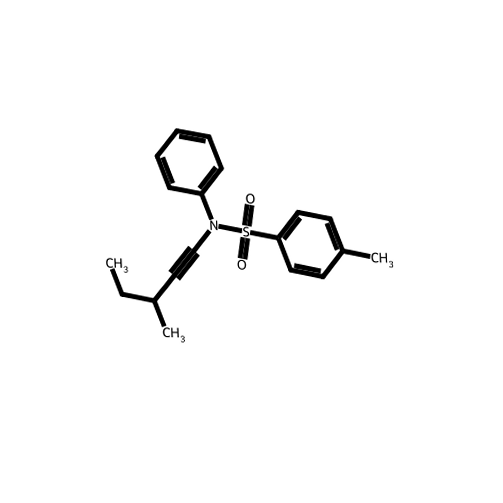 CCC(C)C#CN(c1ccccc1)S(=O)(=O)c1ccc(C)cc1